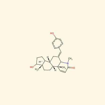 CN1C(=O)C=C[C@@]2(C)C1C(=Cc1ccc(O)cc1)C[C@@H]1[C@H]2CC[C@]2(C)C(O)CC[C@@H]12